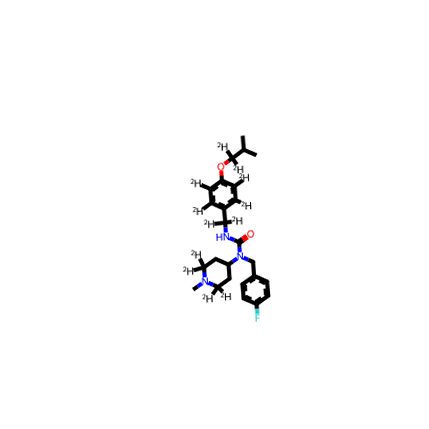 [2H]c1c([2H])c(C([2H])([2H])NC(=O)N(Cc2ccc(F)cc2)C2CC([2H])([2H])N(C)C([2H])([2H])C2)c([2H])c([2H])c1OC([2H])([2H])C(C)C